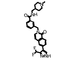 CN1CCC(CNC(=O)c2cccc(Cn3ccc4cc(-c5c[nH]nc5C(F)F)ccc4c3=O)c2)CC1